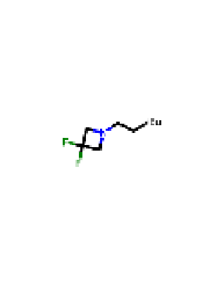 CCC(C)CCN1CC(F)(F)C1